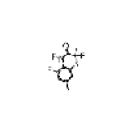 Cc1cc(F)c2c(c1)SC(C)(F)C(=O)N2F